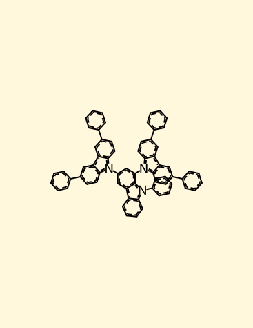 c1ccc(-c2ccc3c(c2)c2cc(-c4ccccc4)ccc2n3-c2cc(-n3c4ccc(-c5ccccc5)cc4c4cc(-c5ccccc5)ccc43)c3c(c2)c2ccccc2n3-c2ccccc2)cc1